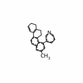 Cc1cc(-c2cccnc2)c2c3c(ccc2c1)C1=C(CCC=C1)CC3